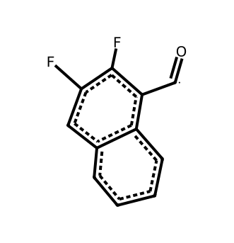 O=[C]c1c(F)c(F)cc2ccccc12